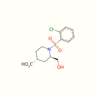 O=C(O)[C@@H]1CCN(S(=O)(=O)c2ccccc2Cl)[C@@H](CO)C1